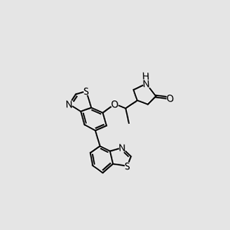 CC(Oc1cc(-c2cccc3scnc23)cc2ncsc12)C1CNC(=O)C1